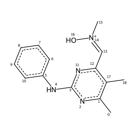 Cc1nc(Nc2ccccc2)nc(C=[N+](C)O)c1C